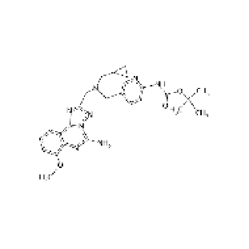 COc1cccc2c1nc(N)n1nc(CN(Cc3ccc(NC(=O)OC(C)(C)C)nc3)CC3CC3)nc21